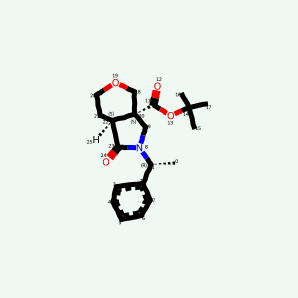 C[C@H](c1ccccc1)N1C[C@]2(C(=O)OC(C)(C)C)COCC[C@@H]2C1=O